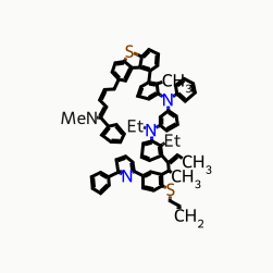 C=CCSc1ccc(-c2cccc(-c3ccccc3)n2)cc1C(C)/C(=C\C)c1cccc(N(CC)c2cccc(N(c3ccccc3)c3cccc(-c4cccc5sc6ccc(C/C=C\C=C(/NC)c7ccccc7)cc6c45)c3C)c2)c1CC